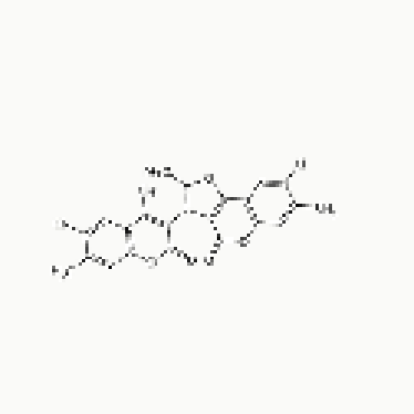 COC1Oc2c(c(=O)oc3cc(C)c(Cl)cc23)C1c1c(O)c2cc(Cl)c(C)cc2oc1=O